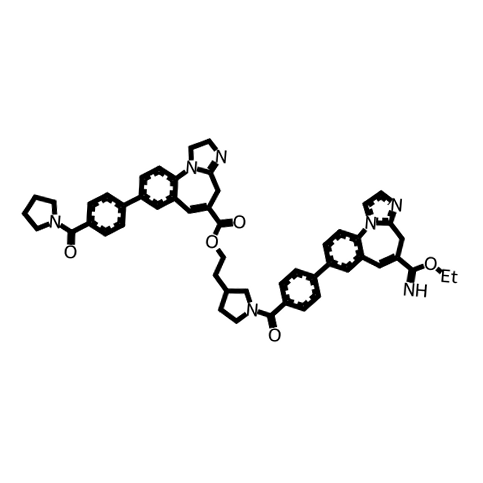 CCOC(=N)C1=Cc2cc(-c3ccc(C(=O)N4CCC(CCOC(=O)C5=Cc6cc(-c7ccc(C(=O)N8CCCC8)cc7)ccc6N6CCN=C6C5)C4)cc3)ccc2-n2ccnc2C1